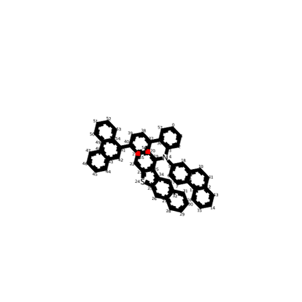 c1ccc(N(c2ccc3c(ccc4ccccc43)c2)c2cccc3sc4cc5ccccc5cc4c23)c(-c2ccc(-c3cc4ccccc4c4ccccc34)cc2)c1